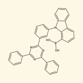 OB(O)c1cccc2c3ccccc3n(-c3cccc(-c4nc(-c5ccccc5)nc(-c5ccccc5)n4)c3)c12